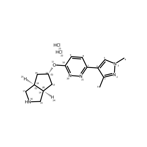 Cc1nn(C)cc1-c1ccc(O[C@@H]2C[C@H]3CNC[C@H]3C2)nn1.Cl.Cl